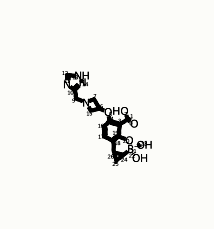 O=C(O)c1c(OC2CN(Cc3nc[nH]n3)C2)ccc2c1O[B-](O)(O)C1CC21